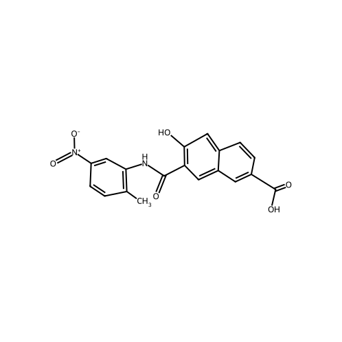 Cc1ccc([N+](=O)[O-])cc1NC(=O)c1cc2cc(C(=O)O)ccc2cc1O